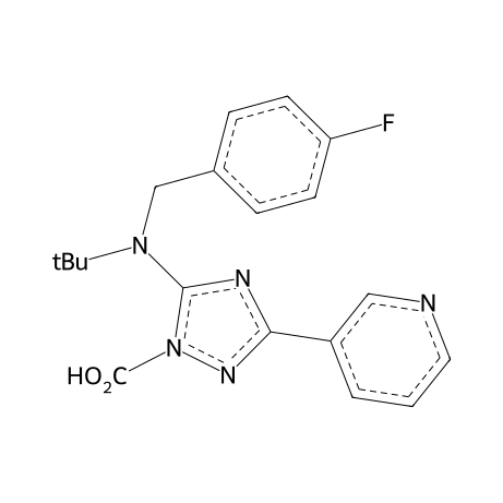 CC(C)(C)N(Cc1ccc(F)cc1)c1nc(-c2cccnc2)nn1C(=O)O